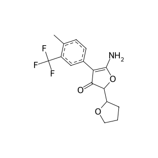 Cc1ccc(C2=C(N)OC(C3CCCO3)C2=O)cc1C(F)(F)F